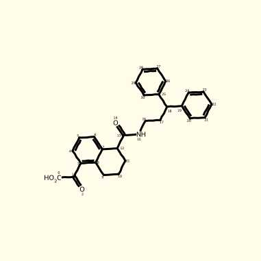 O=C(O)C(=O)c1cccc2c1CCCC2C(=O)NCCC(c1ccccc1)c1ccccc1